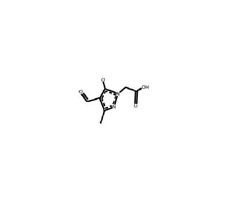 Cc1nn(CC(=O)O)c(Cl)c1C=O